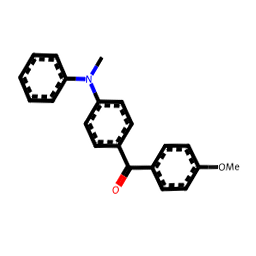 COc1ccc(C(=O)c2ccc(N(C)c3ccccc3)cc2)cc1